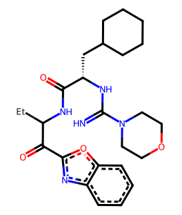 CCC(NC(=O)[C@H](CC1CCCCC1)NC(=N)N1CCOCC1)C(=O)c1nc2ccccc2o1